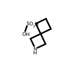 C1CC2(C1)CNC2.O=S(=O)(O)O